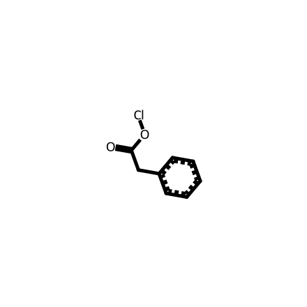 O=C(Cc1ccccc1)OCl